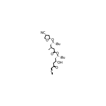 C=C=CC(=O)C[C@@H](O)C[C@H](OC(=O)C[C@@H](C)C[C@H](O[C@H]1C[C@@H](C#N)CO1)[C@@H](C)CC)[C@@H](C)CC